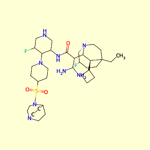 CCC12CCC(F)C[N@](CC1)C(C(C(=O)NC1CNCC(F)C1N1CCC(S(=O)(=O)N3CCN4CCC3CC4)CC1)C(N)N)[C@@H]2C1CCC1